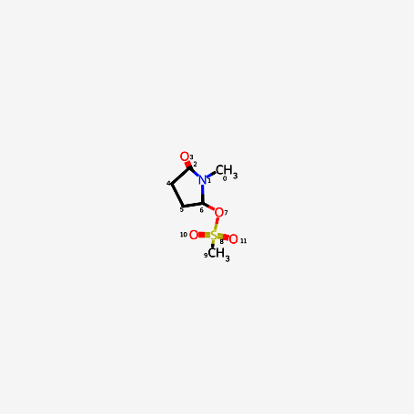 CN1C(=O)CCC1OS(C)(=O)=O